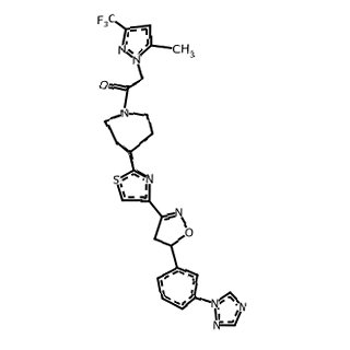 Cc1cc(C(F)(F)F)nn1CC(=O)N1CCC(c2nc(C3=NOC(c4cccc(-n5cncn5)c4)C3)cs2)CC1